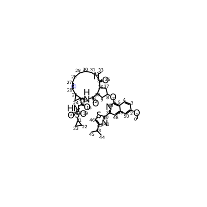 COc1ccc2c(OC3CC4C(=O)NC5(C(=O)NS(=O)(=O)C6CC6)CC5/C=C\CCCCN(C)C(=O)C4C3)nc(-c3nc(C(C)C)cs3)cc2c1